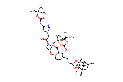 CC(C)(C)OC(=O)Cc1cn(CC(=O)N2CC(Oc3ccc(CCB4O[C@@H]5C[C@@H]6C[C@@H](C6(C)C)[C@]5(C)O4)c(OC(=O)OC(C)(C)C)c3C(=O)OC(C)(C)C)C2)nn1